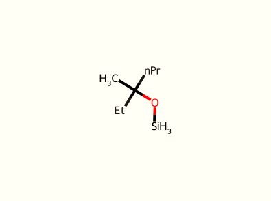 CCCC(C)(CC)O[SiH3]